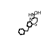 ONC1=Nc2ccc(Cc3ccccc3)cc2SCC1